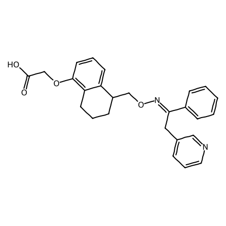 O=C(O)COc1cccc2c1CCCC2CO/N=C(\Cc1cccnc1)c1ccccc1